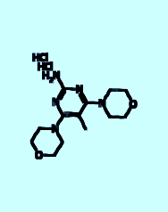 Cc1c(N2CCOCC2)nc(N)nc1N1CCOCC1.Cl.Cl